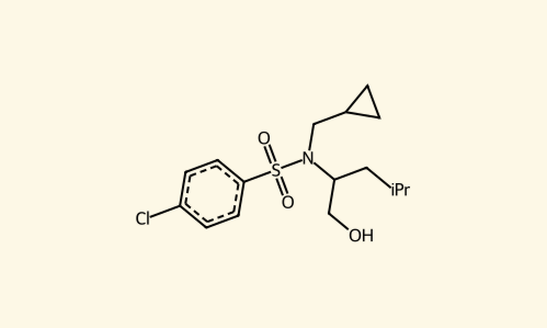 CC(C)CC(CO)N(CC1CC1)S(=O)(=O)c1ccc(Cl)cc1